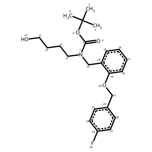 CC(C)(C)OC(=O)N(CCCCO)Cc1ccccc1OCc1ccc(F)cc1